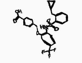 O=C(O)c1ccc(COc2cc(C(F)(F)F)ccc2NS(=O)(=O)c2ccccc2CC2CC2)cc1